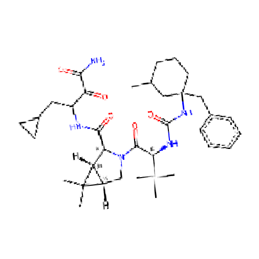 CC1CCCC(Cc2ccccc2)(NC(=O)N[C@H](C(=O)N2C[C@H]3[C@@H]([C@H]2C(=O)NC(CC2CC2)C(=O)C(N)=O)C3(C)C)C(C)(C)C)C1